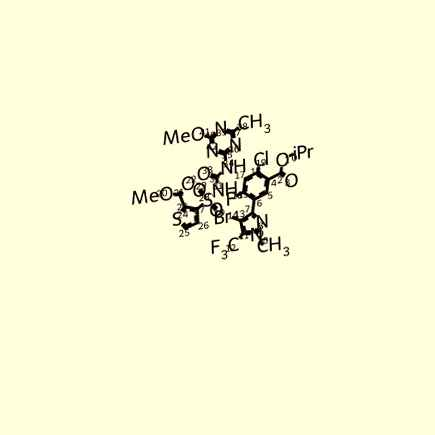 CC(C)OC(=O)c1cc(-c2nn(C)c(C(F)(F)F)c2Br)c(F)cc1Cl.COC(=O)c1sccc1S(=O)(=O)NC(=O)Nc1nc(C)nc(OC)n1